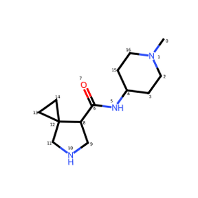 CN1CCC(NC(=O)C2CNCC23CC3)CC1